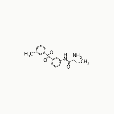 CCC(N)C(=O)Nc1cccc(S(=O)(=O)c2cccc(C)c2)c1